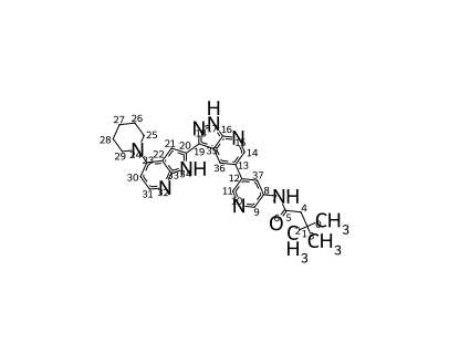 CC(C)(C)CC(=O)Nc1cncc(-c2cnc3[nH]nc(-c4cc5c(N6CCCCC6)ccnc5[nH]4)c3c2)c1